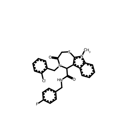 Cn1c2c(c3ccccc31)C(C(=O)NCc1ccc(F)cc1)N(Cc1ccccc1Cl)C(=O)CS2